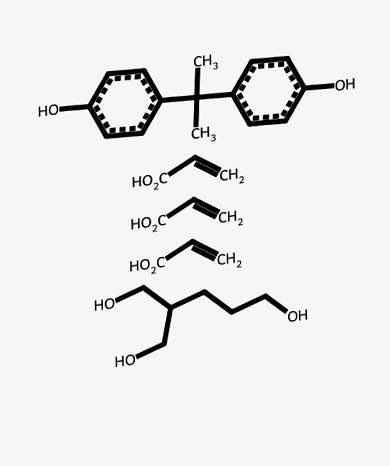 C=CC(=O)O.C=CC(=O)O.C=CC(=O)O.CC(C)(c1ccc(O)cc1)c1ccc(O)cc1.OCCCC(CO)CO